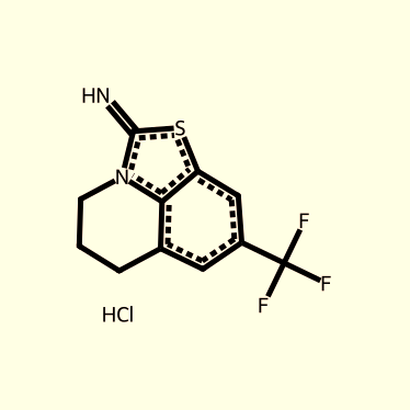 Cl.N=c1sc2cc(C(F)(F)F)cc3c2n1CCC3